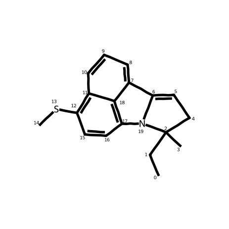 CCC1(C)CC=c2c3cccc4c(SC)ccc(c43)n21